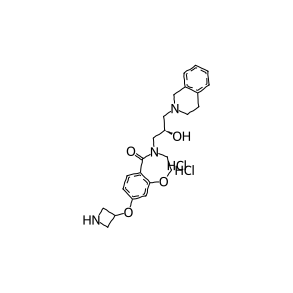 Cl.Cl.O=C1c2ccc(OC3CNC3)cc2OCCN1C[C@H](O)CN1CCc2ccccc2C1